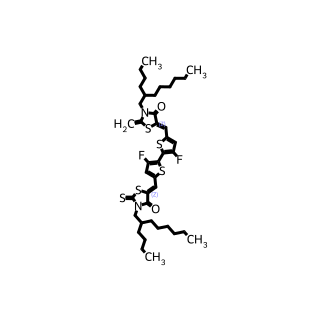 C=c1s/c(=C\c2cc(F)c(-c3sc(/C=C4\SC(=S)N(CC(CCCC)CCCCCC)C4=O)cc3F)s2)c(=O)n1CC(CCCC)CCCCCC